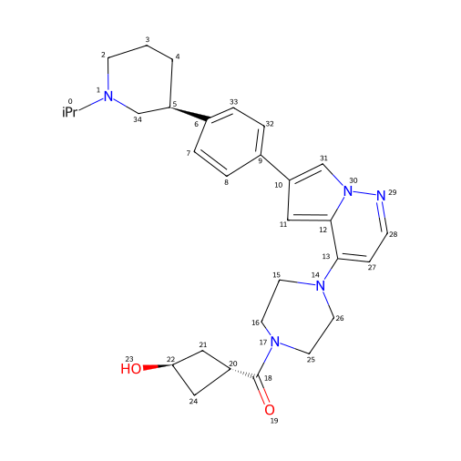 CC(C)N1CCC[C@@H](c2ccc(-c3cc4c(N5CCN(C(=O)[C@H]6C[C@H](O)C6)CC5)ccnn4c3)cc2)C1